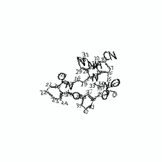 CS(=O)(=O)N1Cc2cc(C#N)ccc2N(C(CCN2C(=O)c3ccccc3C2=O)c2cnc[nH]2)C[C@H]1Cc1ccccc1